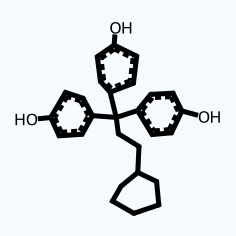 Oc1ccc(C(CCC2CCCCC2)(c2ccc(O)cc2)c2ccc(O)cc2)cc1